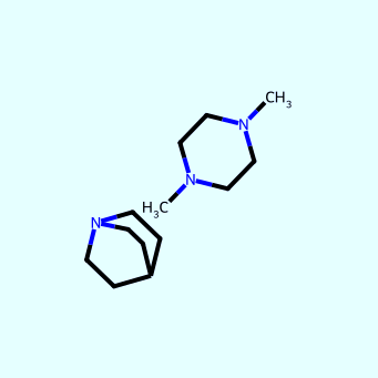 C1CN2CCC1CC2.CN1CCN(C)CC1